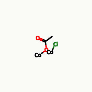 CC(=O)[O][Co].[Cl][Co]